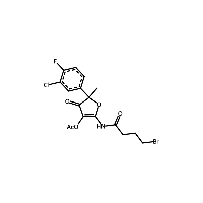 CC(=O)OC1=C(NC(=O)CCCBr)OC(C)(c2ccc(F)c(Cl)c2)C1=O